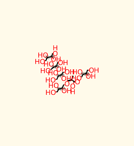 CC(=COC[C@H](O)[C@H](O)CO)C(=O)O.OC[C@@H](O)[C@@H](O)CO.OC[C@@H](O)[C@@H](O)CO.OC[C@@H](O)[C@@H](O)CO.OC[C@@H](O)[C@@H](O)CO